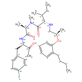 CCCCc1ccccc1O[C@H](C)CN[C@H](C(=O)N(C)[C@H](C)C(=O)N[C@H](Cc1ccc(F)cc1)C(C)=O)C(C)CC